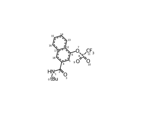 CC(C)(C)NC(=O)c1cc(OS(=O)(=O)C(F)(F)F)c2ccccc2c1